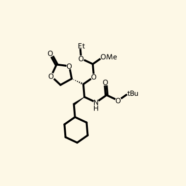 CCOC(OC)OC([C@H](CC1CCCCC1)NC(=O)OC(C)(C)C)[C@@H]1COC(=O)O1